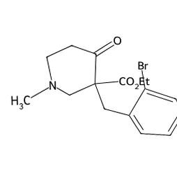 CCOC(=O)C1(Cc2ccccc2Br)CN(C)CCC1=O